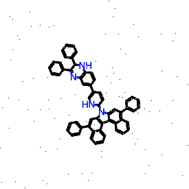 C1=CC(n2c3cc(-c4ccccc4)c4ccccc4c3c3c4ccccc4c(-c4ccccc4)cc32)NC=C1c1ccc2c(c1)N=C(c1ccccc1)C(c1ccccc1)N2